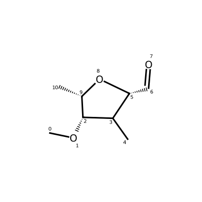 CO[C@H]1C(C)[C@@H](C=O)O[C@H]1C